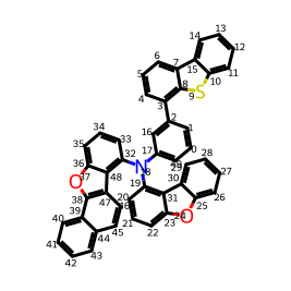 c1cc(-c2cccc3c2sc2ccccc23)cc(N(c2cccc3oc4ccccc4c23)c2cccc3oc4c5ccccc5ccc4c23)c1